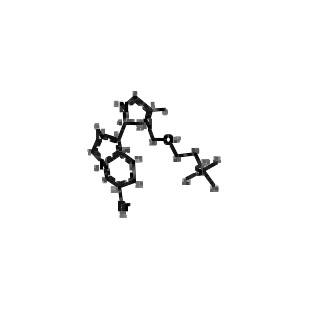 Cc1cnc(-c2ncn3cc(Br)ccc23)n1COCC[Si](C)(C)C